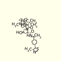 Cc1ncsc1-c1ccc([C@H](C)NC(=O)[C@@H]2C[C@@H](O)CN2C(=O)[C@@H](NC(=O)C2(N(C)C)CC2)C(C)(C)C)cc1